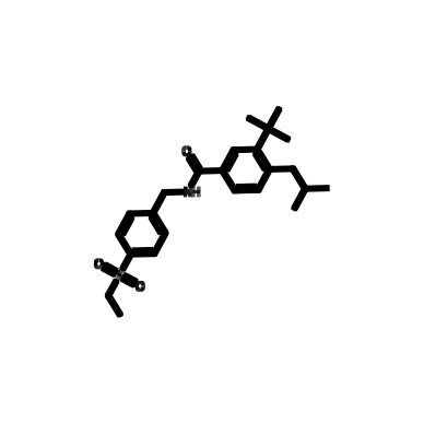 CCS(=O)(=O)c1ccc(CNC(=O)c2ccc(CC(C)C)c(C(C)(C)C)c2)cc1